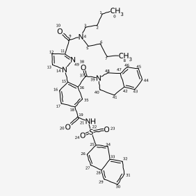 CCCCN(CCCC)C(=O)c1ccn(-c2ccc(C(=O)NS(=O)(=O)c3ccc4ccccc4c3)cc2C(=O)N2CCc3ccccc3C2)n1